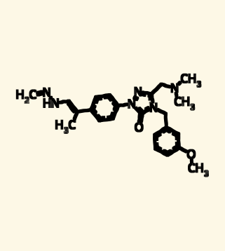 C=NN/C=C(\C)c1ccc(-n2nc(CN(C)C)n(Cc3cccc(OC)c3)c2=O)cc1